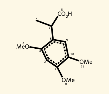 COc1cc(OC)c(C(C)C(=O)O)cc1OC